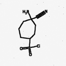 BC1(C#N)CCCC(S(=O)(=O)Cl)CC1